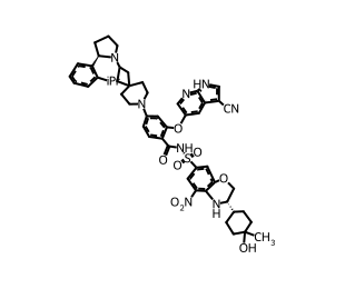 CC(C)c1ccccc1[C@H]1CCCN1C1CC2(CCN(c3ccc(C(=O)NS(=O)(=O)c4cc5c(c([N+](=O)[O-])c4)N[C@@H](C4CCC(C)(O)CC4)CO5)c(Oc4cnc5[nH]cc(C#N)c5c4)c3)CC2)C1